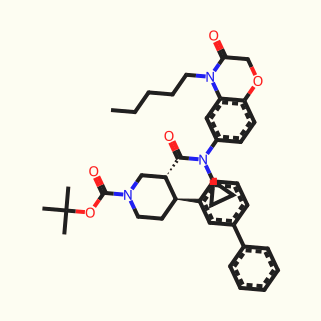 CCCCCN1C(=O)COc2ccc(N(C(=O)[C@H]3CN(C(=O)OC(C)(C)C)CC[C@@H]3c3cccc(-c4ccccc4)c3)C3CC3)cc21